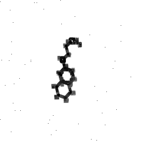 CCCOc1ccc2c(c1)CCCC2